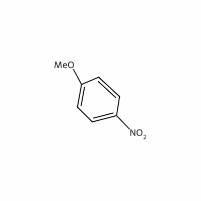 [C]Oc1ccc([N+](=O)[O-])cc1